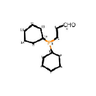 O=CCCP(C1CCCCC1)C1CCCCC1